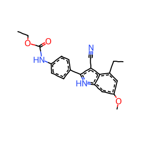 CCOC(=O)Nc1ccc(-c2[nH]c3cc(OC)cc(CC)c3c2C#N)cc1